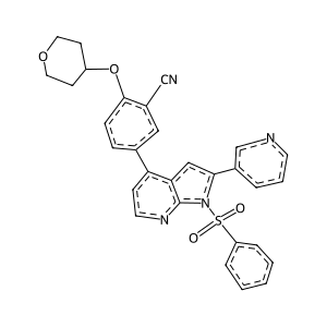 N#Cc1cc(-c2ccnc3c2cc(-c2cccnc2)n3S(=O)(=O)c2ccccc2)ccc1OC1CCOCC1